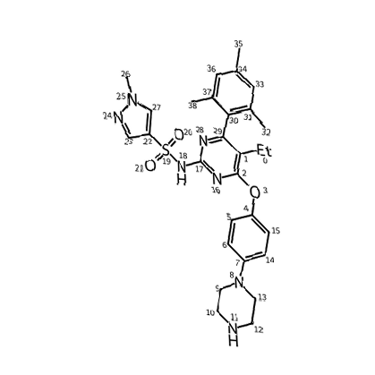 CCc1c(Oc2ccc(N3CCNCC3)cc2)nc(NS(=O)(=O)c2cnn(C)c2)nc1-c1c(C)cc(C)cc1C